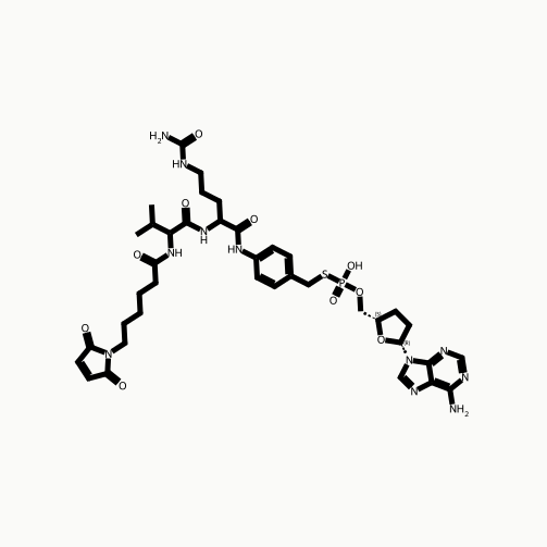 CC(C)C(NC(=O)CCCCCN1C(=O)C=CC1=O)C(=O)NC(CCCNC(N)=O)C(=O)Nc1ccc(CSP(=O)(O)OC[C@@H]2CC[C@H](n3cnc4c(N)ncnc43)O2)cc1